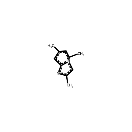 Cc1cc(C)n2cc(C)nc2c1